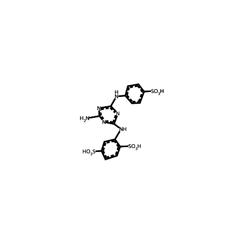 Nc1nc(Nc2ccc(S(=O)(=O)O)cc2)nc(Nc2cc(S(=O)(=O)O)ccc2S(=O)(=O)O)n1